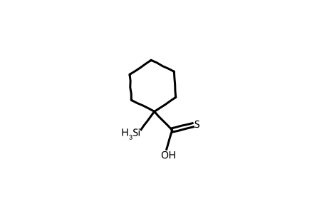 OC(=S)C1([SiH3])CCCCC1